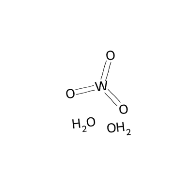 O.O.[O]=[W](=[O])=[O]